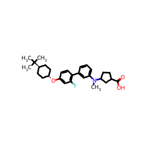 CN(c1cccc(-c2ccc(O[C@H]3CC[C@H](C(C)(C)C)CC3)cc2F)c1)C1CCC(C(=O)O)C1